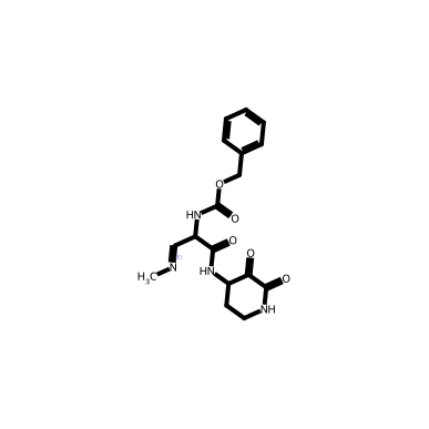 C/N=C/C(NC(=O)OCc1ccccc1)C(=O)NC1CCNC(=O)C1=O